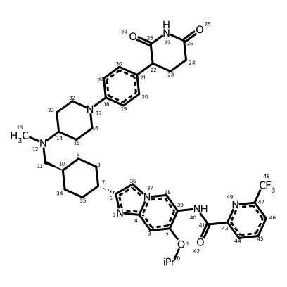 CC(C)Oc1cc2nc([C@H]3CC[C@H](CN(C)C4CCN(c5ccc(C6CCC(=O)NC6=O)cc5)CC4)CC3)cn2cc1NC(=O)c1cccc(C(F)(F)F)n1